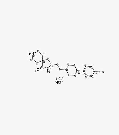 Cl.Cl.O=C1NC(CCN2CCN(c3ccc(F)cc3)CC2)CC12CCNCC2